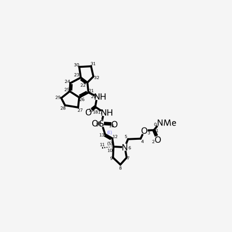 CNC(=O)OCCN1CCC[C@@]1(C)/C=C/S(=O)(=O)NC(=O)Nc1c2c(cc3c1CCC3)CCC2